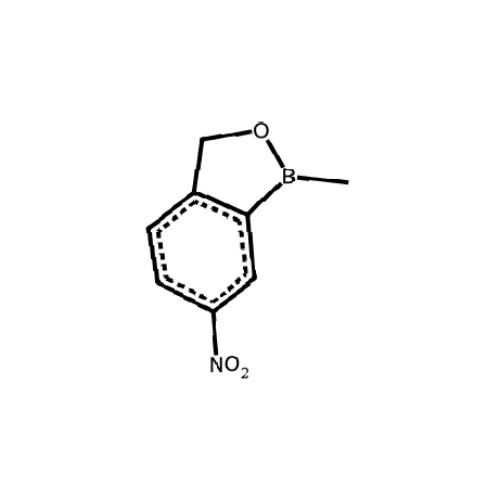 CB1OCc2ccc([N+](=O)[O-])cc21